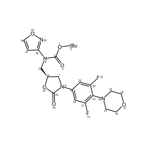 CC(C)(C)OC(=O)N(C[C@H]1CN(c2cc(F)c(N3CCOCC3)c(F)c2)C(=O)O1)c1ccon1